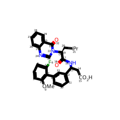 COc1cccc(F)c1-c1cccc(C(CC(=O)O)NC(=O)[C@H](CC(C)C)n2cnc3ccccc3c2=O)c1